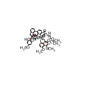 COc1ccc(CN(Cc2ccc(OC)cc2)S(=O)(=O)c2c(S(=O)(=O)CCNC(=O)OC(C)(C)C)ccc(-c3cccc4cc(C(=O)O)[nH]c34)c2-c2nnn(Cc3ccc(OC)cc3)n2)cc1